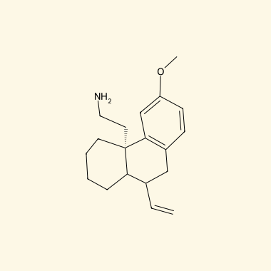 C=CC1Cc2ccc(OC)cc2[C@]2(CCN)CCCCC12